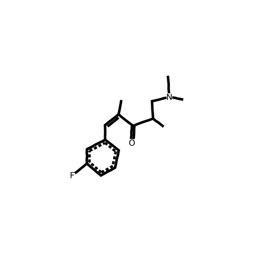 CC(=Cc1cccc(F)c1)C(=O)C(C)CN(C)C